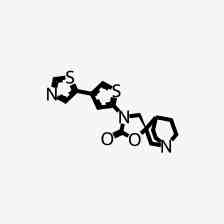 O=C1O[C@]2(CN3CCC2CC3)CN1c1cc(-c2cncs2)cs1